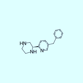 c1ccc(Cc2ccc([C@@H]3CNCCN3)nc2)cc1